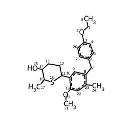 CCOc1ccc(Cc2cc(C3CCC(O)C(C)S3)c(OC)cc2C)cc1